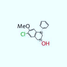 COc1cc2c(cc1Cl)C[C@@H](O)C[C@H]2c1ccccc1